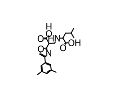 Cc1cc(C)cc(-c2coc(C(CNC(CC(C)C)C(=O)O)C(=O)O)n2)c1